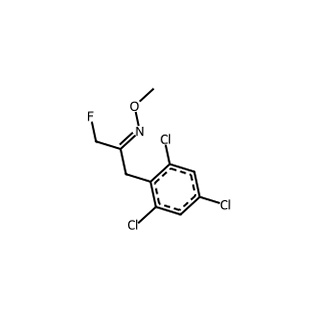 CON=C(CF)Cc1c(Cl)cc(Cl)cc1Cl